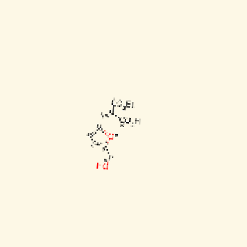 CCOC(=O)/C(=C/c1ccc(CO)o1)C(=O)O